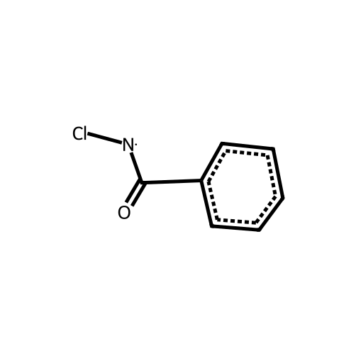 O=C([N]Cl)c1ccccc1